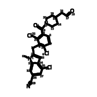 Cn1c(Cc2c(Cl)ccc(C(=O)N3CCC(CC=O)CC3)c2Cl)cc2c(Cl)cc(C#N)cc21